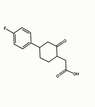 O=C(O)CC1CCC(c2ccc(F)cc2)CC1=O